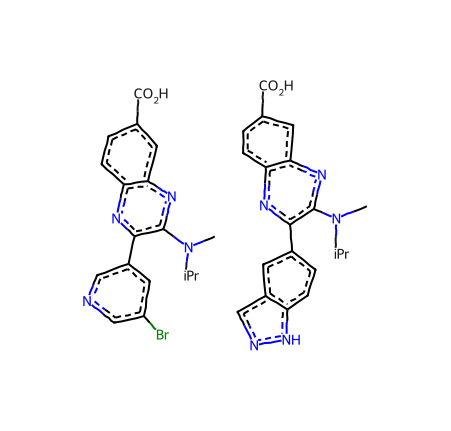 CC(C)N(C)c1nc2cc(C(=O)O)ccc2nc1-c1ccc2[nH]ncc2c1.CC(C)N(C)c1nc2cc(C(=O)O)ccc2nc1-c1cncc(Br)c1